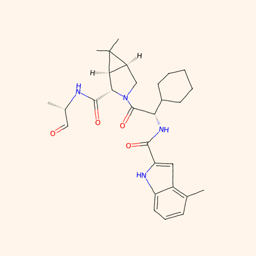 Cc1cccc2[nH]c(C(=O)N[C@H](C(=O)N3C[C@H]4[C@@H]([C@H]3C(=O)N[C@@H](C)C=O)C4(C)C)C3CCCCC3)cc12